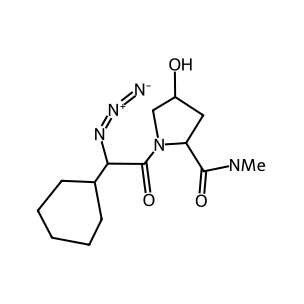 CNC(=O)C1CC(O)CN1C(=O)C(N=[N+]=[N-])C1CCCCC1